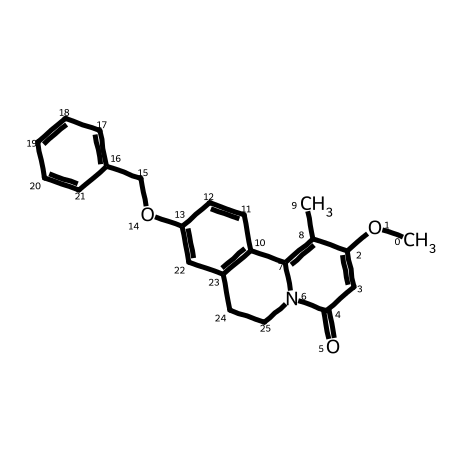 COc1cc(=O)n2c(c1C)-c1ccc(OCc3ccccc3)cc1CC2